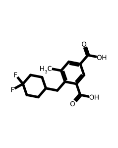 Cc1cc(C(=O)O)cc(C(=O)O)c1CC1CCC(F)(F)CC1